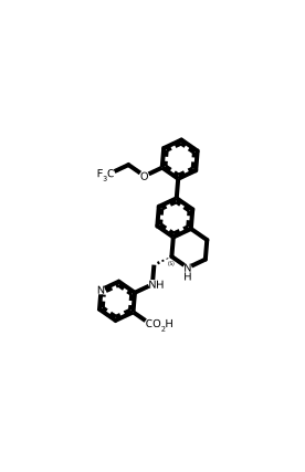 O=C(O)c1ccncc1NC[C@H]1NCCc2cc(-c3ccccc3OCC(F)(F)F)ccc21